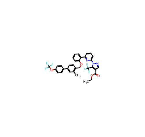 CCOC(=O)c1cnn(-c2cccc(-c3ccccc3OCc3ccc(-c4ccc(OC(F)(F)F)cc4)cc3C)n2)c1C(F)(F)F